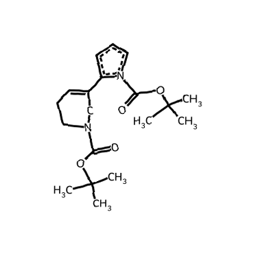 CC(C)(C)OC(=O)N1CCC=C(c2cccn2C(=O)OC(C)(C)C)C1